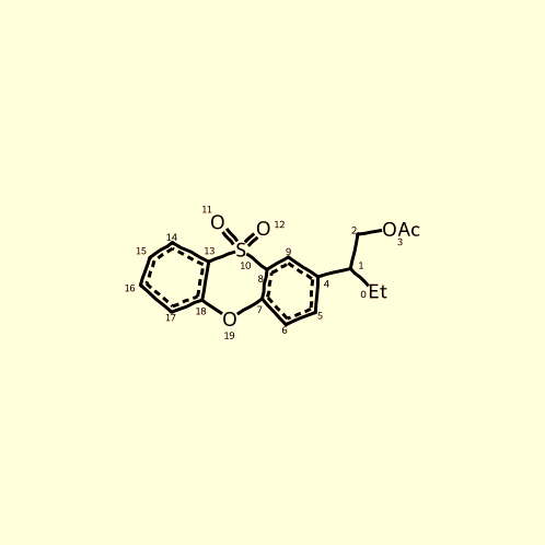 CCC(COC(C)=O)c1ccc2c(c1)S(=O)(=O)c1ccccc1O2